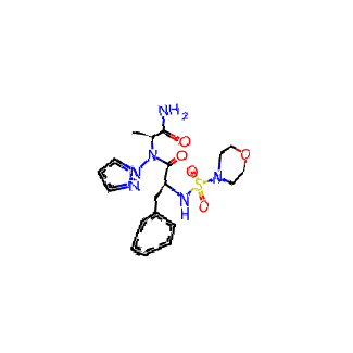 C[C@@H](C(N)=O)N(C(=O)[C@H](Cc1ccccc1)NS(=O)(=O)N1CCOCC1)n1cccn1